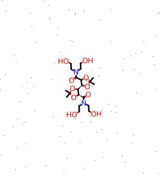 CC1(C)OC(C(=O)N(CCO)CCO)[C@H](C2OC(C)(C)O[C@@H]2C(=O)N(CCO)CCO)O1